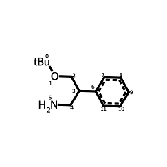 CC(C)(C)OCC(CN)c1ccccc1